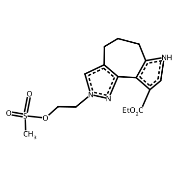 CCOC(=O)c1c[nH]c2c1-c1nn(CCOS(C)(=O)=O)cc1CCC2